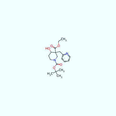 CCOC(=O)C1(Cc2ccccn2)CN(C(=O)OC(C)(C)C)CCC1O